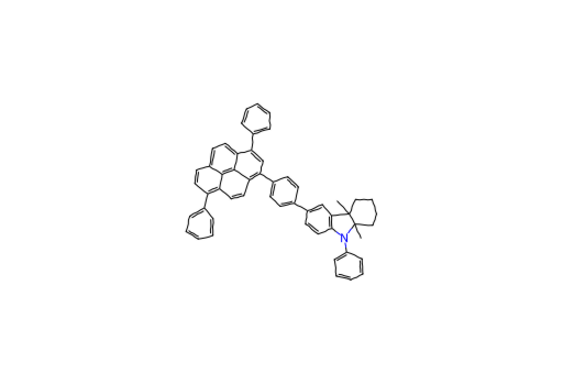 CC12CCCCC1(C)N(c1ccccc1)c1ccc(-c3ccc(-c4cc(-c5ccccc5)c5ccc6ccc(-c7ccccc7)c7ccc4c5c67)cc3)cc12